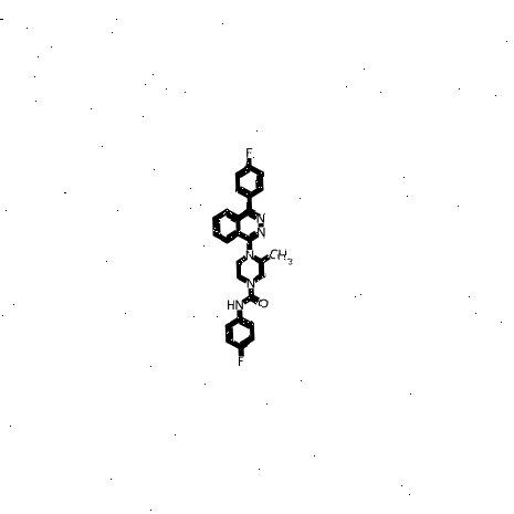 CC1CN(C(=O)Nc2ccc(F)cc2)CCN1c1nnc(-c2ccc(F)cc2)c2ccccc12